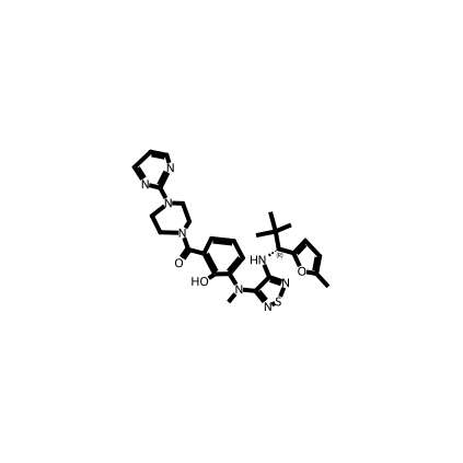 Cc1ccc([C@H](Nc2nsnc2N(C)c2cccc(C(=O)N3CCN(c4ncccn4)CC3)c2O)C(C)(C)C)o1